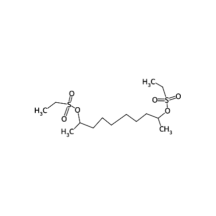 CCS(=O)(=O)OC(C)CCCCCCC(C)OS(=O)(=O)CC